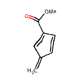 C=C1C=CC(C(=O)OC)=C1